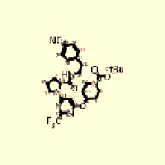 CC(C)(C)OC(=O)N1CCC(Oc2cc(N3CCC[C@H]3C(=O)NCCc3ccc(C#N)cc3)nc(C(F)(F)F)n2)CC1